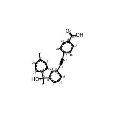 Cc1ccc(C(C)(O)c2cccc(C#Cc3ccc(C(=O)O)cc3)c2)cc1